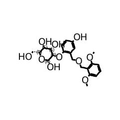 COc1cccc(OC)c1COCc1cc(O)ccc1O[C@@H]1[C@@H](O)[C@H](O)[C@@H](CO)O[C@H]1O